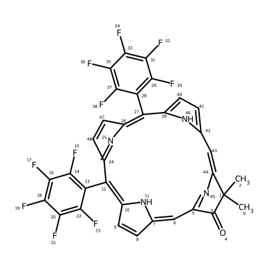 CC1(C)C(=O)c2cc3ccc([nH]3)c(-c3c(F)c(F)c(F)c(F)c3F)c3nc(c(-c4c(F)c(F)c(F)c(F)c4F)c4ccc(cc1n2)[nH]4)C=C3